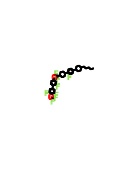 CCCCCC1CCC(c2ccc(C3CCC(C(F)(F)Oc4ccc(-c5cc(F)c(OC(F)F)c(F)c5)c(F)c4)CC3)c(F)c2)CC1